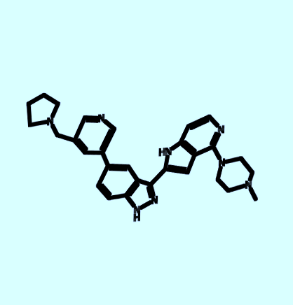 CN1CCN(c2nccc3[nH]c(-c4n[nH]c5ccc(-c6cncc(CN7CCCC7)c6)cc45)cc23)CC1